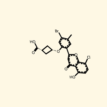 Cc1cc(-c2cc(=O)c3c(O)ccc(Cl)c3o2)c(O[C@H]2C[C@@H](C(=O)O)C2)cc1Br